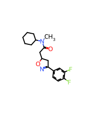 CN(C(=O)CC1CC(c2ccc(F)c(F)c2)=NO1)C1CCCCC1